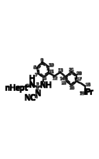 CCCCCCCN/C(=N\C#N)Nc1ccccc1CCc1ccc(CC(C)C)cc1